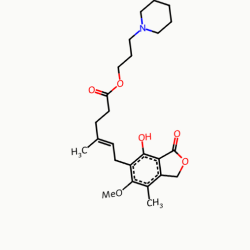 COc1c(C)c2c(c(O)c1C/C=C(\C)CCC(=O)OCCCN1CCCCC1)C(=O)OC2